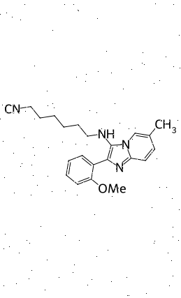 [C-]#[N+]CCCCCCNc1c(-c2ccccc2OC)nc2ccc(C)cn12